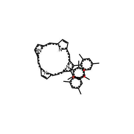 Cc1cc(C)c(-c2c(-c3c(C)cc(C)cc3C)c3cc4nc(cc5ccc(cc6nc(cc2n3-c2c(C)cc(C)cc2C)C=C6)[nH]5)C=C4)c(C)c1